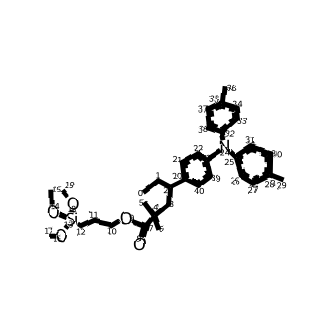 CCC(CC(C)(C)C(=O)OCCC[Si](OC)(OC)OC)c1ccc(N(c2ccc(C)cc2)c2ccc(C)cc2)cc1